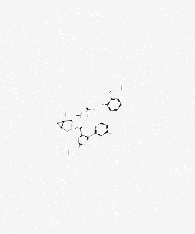 COc1ccccc1OCC(=O)NC[C@@H]1[C@@H]2C[C@@H]2CN1C(=O)c1nc(C)sc1-c1cccc(C)c1